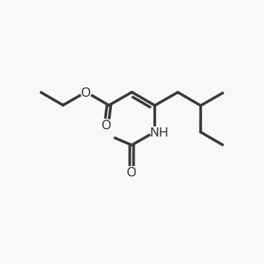 CCOC(=O)/C=C(/CC(C)CC)NC(C)=O